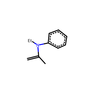 C=C(C)N(CC)c1ccccc1